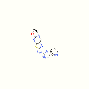 COc1ncc2nc(NC3=NC4(CN3)CN3CCC4CC3)sc2n1